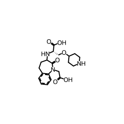 O=C(O)CN1C(=O)C(N[C@@H](COC2CCNCC2)C(=O)O)CCc2ccccc21